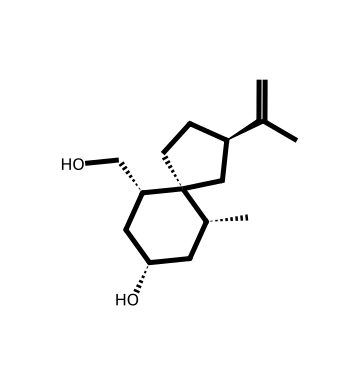 C=C(C)[C@@H]1CC[C@@]2(C1)[C@@H](CO)C[C@@H](O)C[C@H]2C